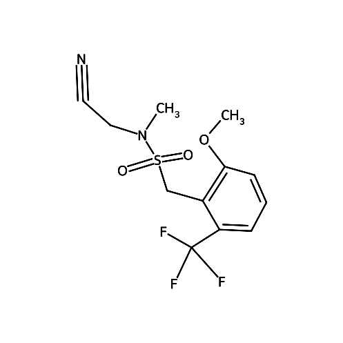 COc1cccc(C(F)(F)F)c1CS(=O)(=O)N(C)CC#N